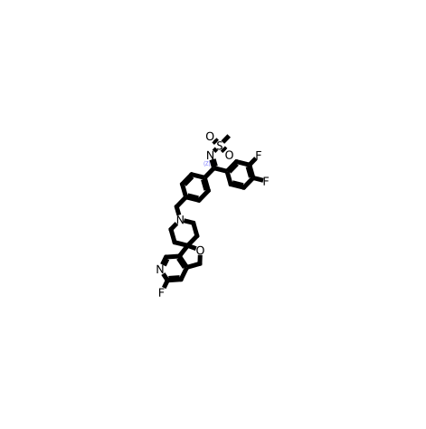 CS(=O)(=O)/N=C(/c1ccc(CN2CCC3(CC2)OCc2cc(F)ncc23)cc1)c1ccc(F)c(F)c1